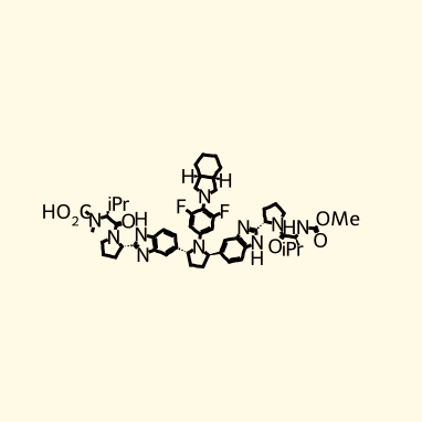 COC(=O)N[C@H](C(=O)N1CCC[C@H]1c1nc2cc([C@H]3CC[C@H](c4ccc5[nH]c([C@@H]6CCCN6C(=O)[C@H](C(C)C)N(C)C(=O)O)nc5c4)N3c3cc(F)c(N4C[C@H]5CCCC[C@H]5C4)c(F)c3)ccc2[nH]1)C(C)C